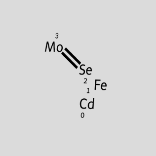 [Cd].[Fe].[Se]=[Mo]